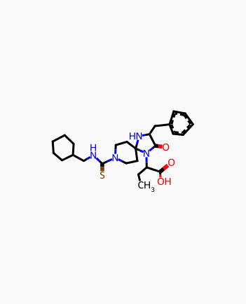 CCC(C(=O)O)N1C(=O)C(Cc2ccccc2)NC12CCN(C(=S)NCC1CCCCC1)CC2